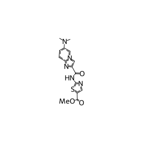 COC(=O)c1cnc(NC(=O)c2cn3cc(N(C)C)ccc3n2)s1